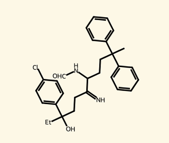 CCC(O)(CCC(=N)C(CCC(C)(c1ccccc1)c1ccccc1)NC=O)c1ccc(Cl)cc1